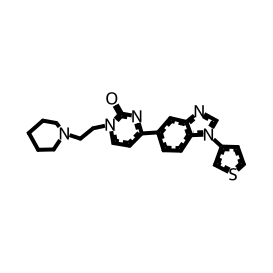 O=c1nc(-c2ccc3c(c2)ncn3-c2ccsc2)ccn1CCN1CCCCC1